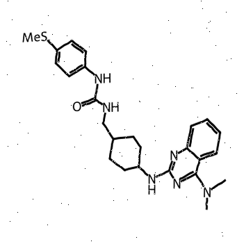 CSc1ccc(NC(=O)NCC2CCC(Nc3nc(N(C)C)c4ccccc4n3)CC2)cc1